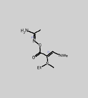 CCN(C)/C(=C\NC)C(=O)O/N=C(\C)N